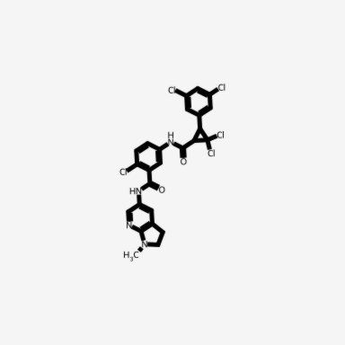 CN1CCc2cc(NC(=O)c3cc(NC(=O)C4C(c5cc(Cl)cc(Cl)c5)C4(Cl)Cl)ccc3Cl)cnc21